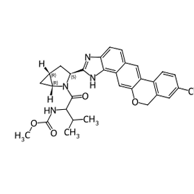 COC(=O)NC(C(=O)N1[C@@H]2C[C@@H]2C[C@H]1c1nc2ccc3cc4c(cc3c2[nH]1)OCc1cc(Cl)ccc1-4)C(C)C